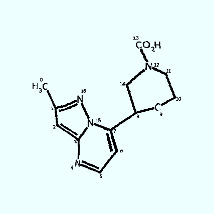 Cc1cc2nccc(C3CCCN(C(=O)O)C3)n2n1